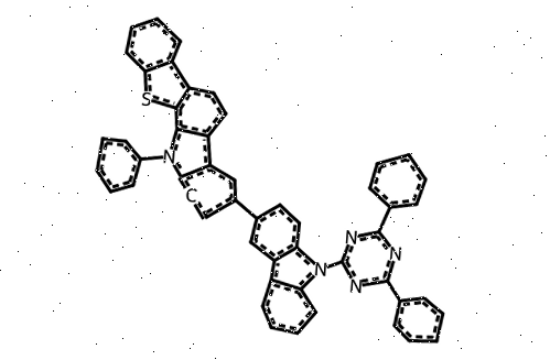 c1ccc(-c2nc(-c3ccccc3)nc(-n3c4ccccc4c4cc(-c5ccc6c(c5)c5ccc7c8ccccc8sc7c5n6-c5ccccc5)ccc43)n2)cc1